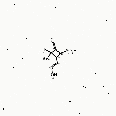 CC(=O)C1(N)C(=O)N(S(=O)(=O)O)C1C=NO